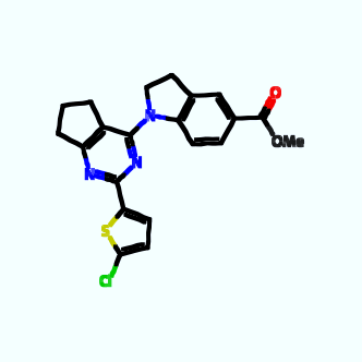 COC(=O)c1ccc2c(c1)CCN2c1nc(-c2ccc(Cl)s2)nc2c1CCC2